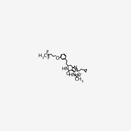 C[S+]([O-])Nc1c2c(nn1CCC1CC1)CC(CCc1cccc(OCCCC(C)(F)F)c1)NC2=O